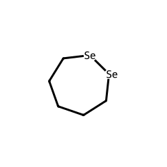 C1CC[Se][Se]CC1